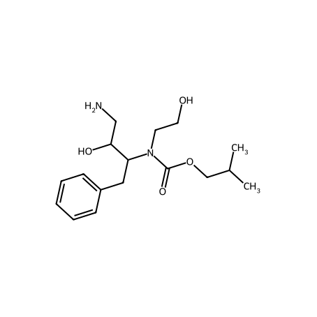 CC(C)COC(=O)N(CCO)C(Cc1ccccc1)C(O)CN